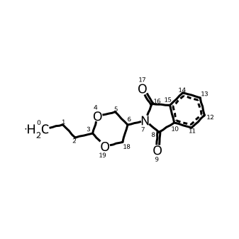 [CH2]CCC1OCC(N2C(=O)c3ccccc3C2=O)CO1